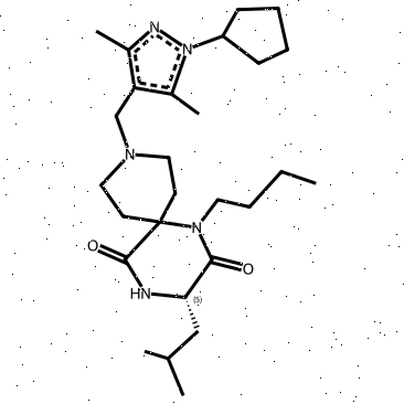 CCCCN1C(=O)[C@H](CC(C)C)NC(=O)C12CCN(Cc1c(C)nn(C3CCCC3)c1C)CC2